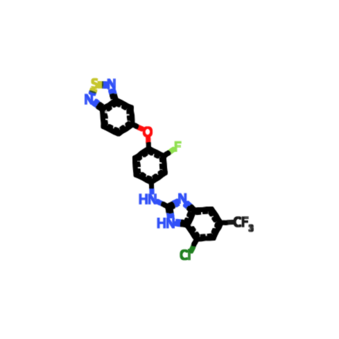 Fc1cc(Nc2nc3cc(C(F)(F)F)cc(Cl)c3[nH]2)ccc1Oc1ccc2nsnc2c1